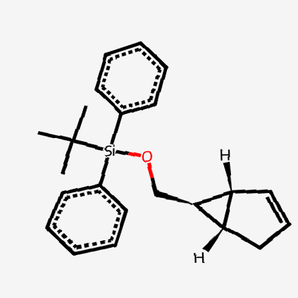 CC(C)(C)[Si](OC[C@H]1[C@@H]2C=CC[C@@H]21)(c1ccccc1)c1ccccc1